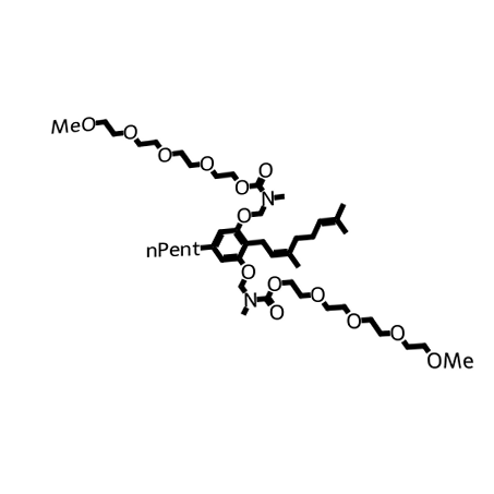 CCCCCc1cc(OCN(C)C(=O)OCCOCCOCCOCCOC)c(CC=C(C)CCC=C(C)C)c(OCN(C)C(=O)OCCOCCOCCOCCOC)c1